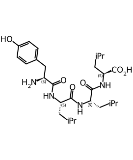 CC(C)C[C@H](NC(=O)[C@H](CC(C)C)NC(=O)[C@H](CC(C)C)NC(=O)[C@@H](N)Cc1ccc(O)cc1)C(=O)O